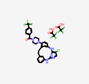 O=C(O)C(F)(F)F.O=C(O)C(F)(F)F.O=C(c1ccc(C(F)(F)F)cc1)N1CCN(c2ccc3cc2CCc2cccc(c2)Nc2ncc(Cl)c(n2)N3)CC1